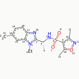 CCn1c([C@@H](C)NS(=O)(=O)c2c(C)noc2C)nc2ccc(C(F)(F)F)cc21